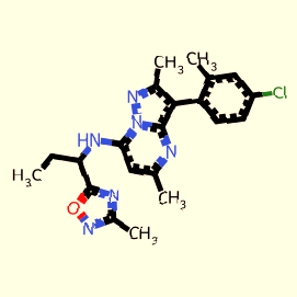 CCC(Nc1cc(C)nc2c(-c3ccc(Cl)cc3C)c(C)nn12)c1nc(C)no1